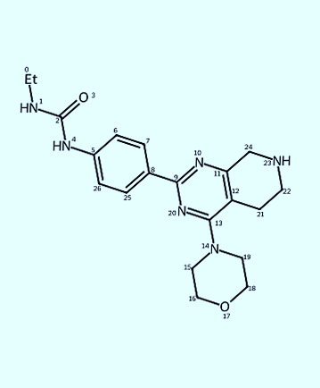 CCNC(=O)Nc1ccc(-c2nc3c(c(N4CCOCC4)n2)CCNC3)cc1